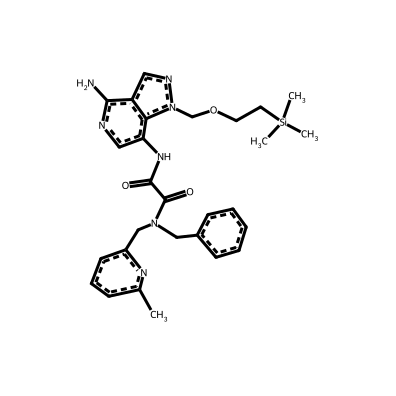 Cc1cccc(CN(Cc2ccccc2)C(=O)C(=O)Nc2cnc(N)c3cnn(COCC[Si](C)(C)C)c23)n1